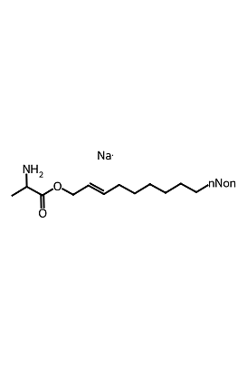 CCCCCCCCCCCCCCCC=CCOC(=O)C(C)N.[Na]